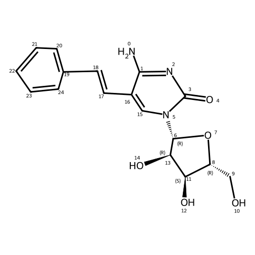 Nc1nc(=O)n([C@@H]2O[C@H](CO)[C@@H](O)[C@H]2O)cc1C=Cc1ccccc1